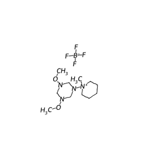 CON1CN(OC)CN([N+]2(C)CCCCC2)C1.F[B-](F)(F)F